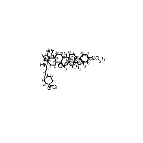 CC(C)[C@@H]1CC[C@]2(NCCN3CCS(=O)(=O)CC3)CCC3[C@H](CC[C@@H]4[C@@]5(C)CC[C@H](c6ccc(C(=O)O)cc6)C(C)(C)[C@@H]5CC[C@@]34C)[C@@H]12